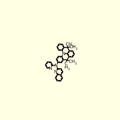 CC1(C)c2ccccc2N2c3ccc(N(c4ccccn4)c4ccc5ccccc5n4)cc3C(C)(C)c3cccc1c32